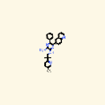 CC(C)(CNc1nc(-c2ccc3ncccc3c2)c(-c2ccccc2)nc1N)c1ccc(C#N)cn1